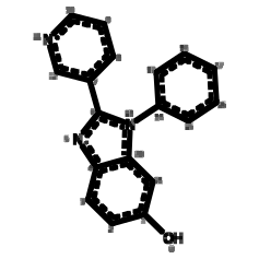 Oc1ccc2nc(-c3cccnc3)n(-c3ccccc3)c2c1